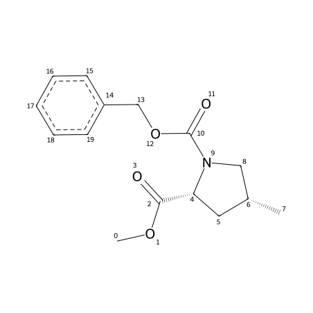 COC(=O)[C@H]1C[C@@H](C)CN1C(=O)OCc1ccccc1